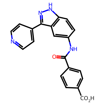 O=C(O)c1ccc(C(=O)Nc2ccc3[nH]nc(-c4ccncc4)c3c2)cc1